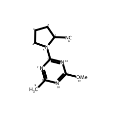 [C-]#[N+]C1CCCN1c1nc(C)nc(OC)n1